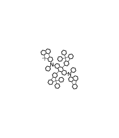 CC1(C)c2cc(N(c3ccccc3)c3ccc4c(-c5ccc6c(c5)C(c5ccccc5)(c5ccccc5)c5ccccc5-6)c5cc(N(c6ccccc6)c6ccc7c8c(cccc68)-c6ccccc6-7)ccc5c(-c5ccc6c(c5)C(c5ccccc5)(c5ccccc5)c5ccccc5-6)c4c3)ccc2-c2cccc3cccc1c23